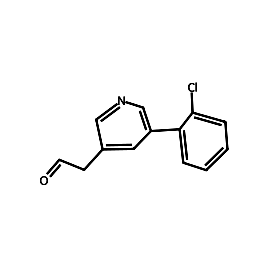 O=CCc1cncc(-c2ccccc2Cl)c1